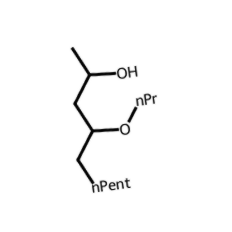 CCCCCCC(CC(C)O)OCCC